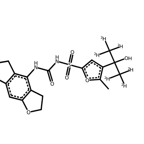 [2H]C([2H])([2H])C(O)(c1cc(S(=O)(=O)NC(=O)Nc2c3c(cc4c2CCO4)CCC3)oc1C)C([2H])([2H])[2H]